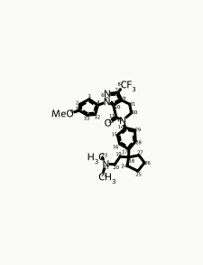 COc1ccc(-n2nc(C(F)(F)F)c3c2C(=O)N(c2ccc(C4(CCN(C)C)CCCC4)cc2)CC3)cc1